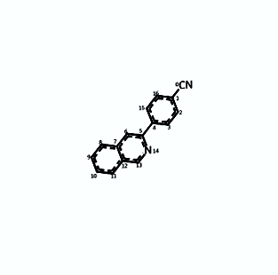 N#Cc1ccc(-c2cc3ccccc3cn2)cc1